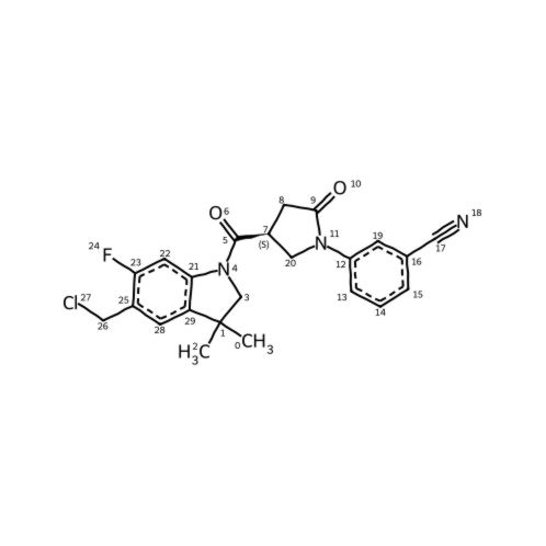 CC1(C)CN(C(=O)[C@H]2CC(=O)N(c3cccc(C#N)c3)C2)c2cc(F)c(CCl)cc21